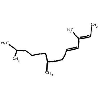 C/C=C(C)/C=C/CC(C)CCCC(C)C